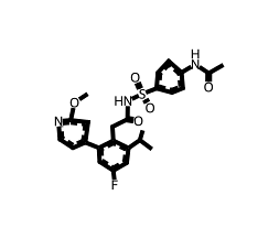 COc1cc(-c2cc(F)cc(C(C)C)c2CC(=O)NS(=O)(=O)c2ccc(NC(C)=O)cc2)ccn1